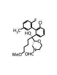 COCCCC[C@@](O)(c1cccc(Cl)c1-c1cc(C)ccc1F)[C@H]1CN(C=O)CCO1